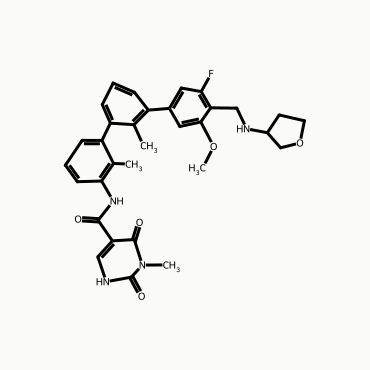 COc1cc(-c2cccc(-c3cccc(NC(=O)c4c[nH]c(=O)n(C)c4=O)c3C)c2C)cc(F)c1CNC1CCOC1